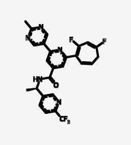 Cc1ncc(-c2cc(C(=O)N[C@H](C)c3ccc(C(F)(F)F)nc3)cc(C3=C(F)C=C(F)CC=C3)n2)cn1